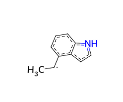 C[CH]c1cccc2[nH]ccc12